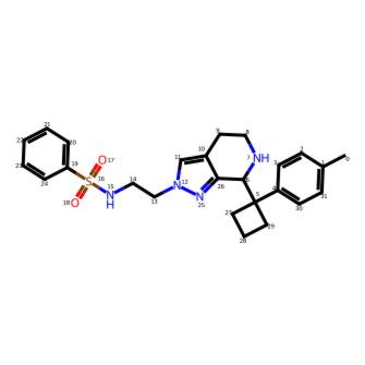 Cc1ccc(C2(C3NCCc4cn(CCNS(=O)(=O)c5ccccc5)nc43)CCC2)cc1